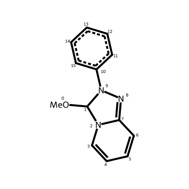 COC1N2C=CC=CC2=NN1c1ccccc1